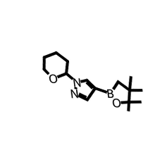 CC1(C)CB(c2cnn(C3CCCCO3)c2)OC1(C)C